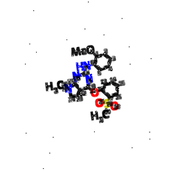 COc1ccccc1Nc1nc(Oc2ccccc2S(C)(=O)=O)c2ccn(C)c2n1